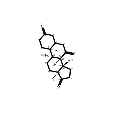 C=C1CC2CC(=O)CC[C@]2(C)[C@@H]2CC[C@]3(C)C(=O)CC[C@H]3[C@H]12